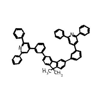 CC1(C)c2ccc(-c3cccc(-c4cc(-c5ccccc5)nc(-c5ccccc5)c4)c3)cc2-c2cc(-c3cccc(-c4cc(-c5ccccc5)nc(-c5ccccc5)c4)c3)ccc21